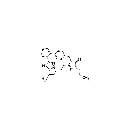 CCCCCCc1nn(CCC)c(=O)n1Cc1ccc(-c2ccccc2-c2nnn[nH]2)cc1